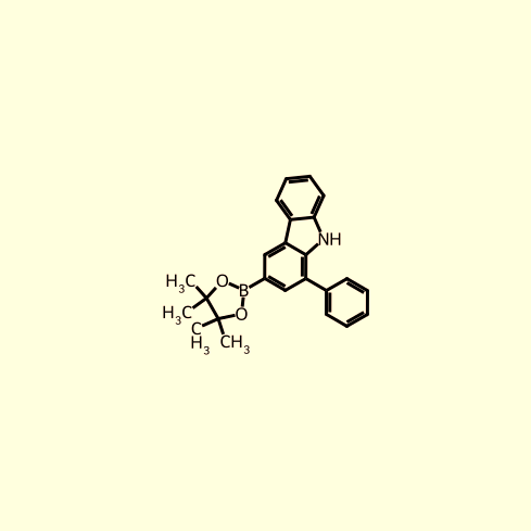 CC1(C)OB(c2cc(-c3ccccc3)c3[nH]c4ccccc4c3c2)OC1(C)C